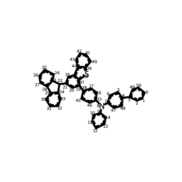 c1ccc(-c2ccc(N(c3ccccc3)c3ccc(-c4cc(C5c6ccccc6-c6ccccc65)cc5c4sc4ccccc45)cc3)cc2)cc1